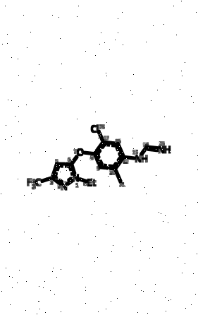 CCn1nc(C(F)(F)F)cc1Oc1cc(C)c(NC=N)cc1Cl